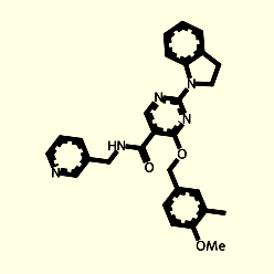 COc1ccc(COc2nc(N3CCc4ccccc43)ncc2C(=O)NCc2cccnc2)cc1C